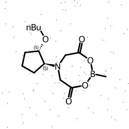 CCCCO[C@H]1CCC[C@@H]1N1CC(=O)OB(C)OC(=O)C1